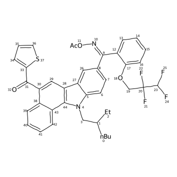 CCCCC(CC)Cn1c2ccc(/C(=N\OC(C)=O)c3ccccc3OCC(F)(F)C(F)F)cc2c2cc(C(=O)c3cccs3)c3ccccc3c21